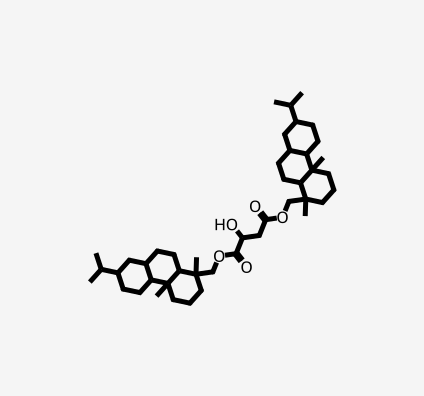 CC(C)C1CCC2C(CCC3C(C)(COC(=O)CC(O)C(=O)OCC4(C)CCCC5(C)C6CCC(C(C)C)CC6CCC45)CCCC23C)C1